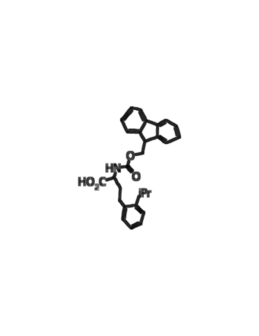 CC(C)c1ccccc1CCC(NC(=O)OCC1c2ccccc2-c2ccccc21)C(=O)O